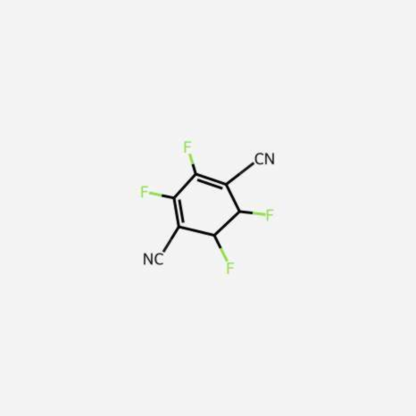 N#CC1=C(F)C(F)=C(C#N)C(F)C1F